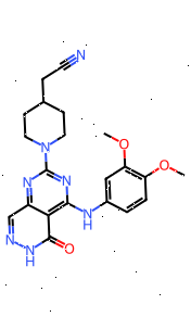 COc1ccc(Nc2nc(N3CCC(CC#N)CC3)nc3cn[nH]c(=O)c23)cc1OC